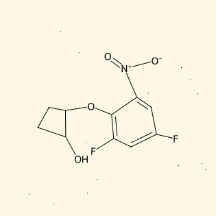 O=[N+]([O-])c1cc(F)cc(F)c1OC1CCC1O